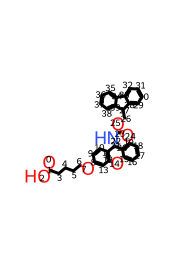 O=C(O)CCCCOc1ccc2c(c1)Oc1ccccc1C2NC(=O)OCC1c2ccccc2-c2ccccc21